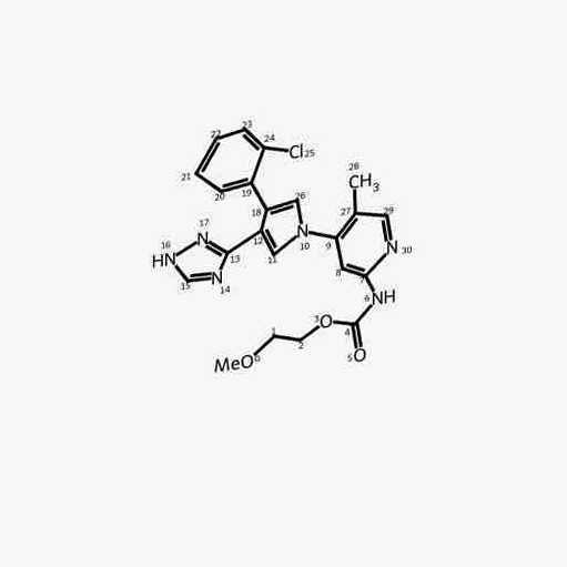 COCCOC(=O)Nc1cc(-n2cc(-c3nc[nH]n3)c(-c3ccccc3Cl)c2)c(C)cn1